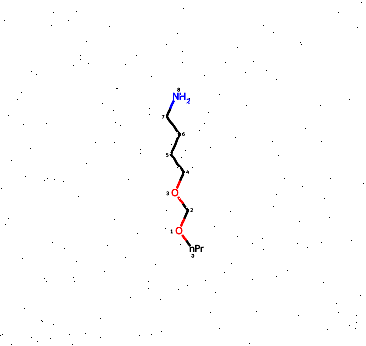 CCCOCOCCCCN